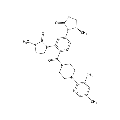 Cc1cnc(N2CCN(C(=O)c3ccc(N4C(=O)OC[C@H]4C)cc3N3CCN(C)C3=O)CC2)c(C)c1